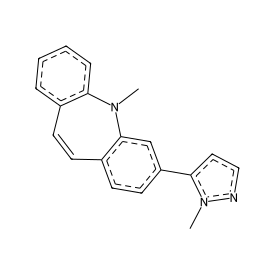 CN1c2ccccc2C=Cc2ccc(-c3ccnn3C)cc21